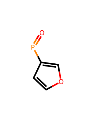 O=Pc1ccoc1